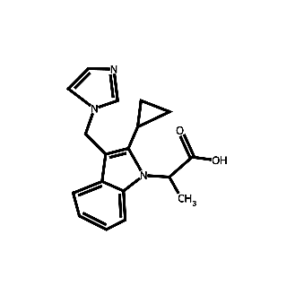 CC(C(=O)O)n1c(C2CC2)c(Cn2ccnc2)c2ccccc21